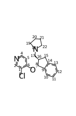 Clc1cnccc1O[C@H]1c2ccccc2C[C@@H]1CN1CCCC1